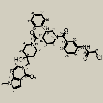 Cn1ccc2c(=O)n(CC3(O)CCN(C(=O)[C@@H]4CCN(C(=O)c5cccc(NC(=O)CCl)c5)C[C@H]4c4ccccc4)CC3)cnc21